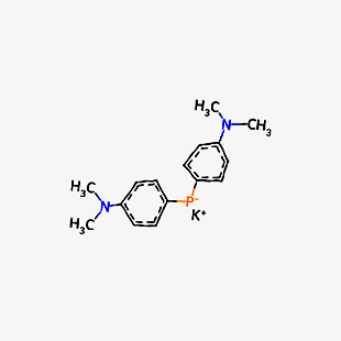 CN(C)c1ccc([P-]c2ccc(N(C)C)cc2)cc1.[K+]